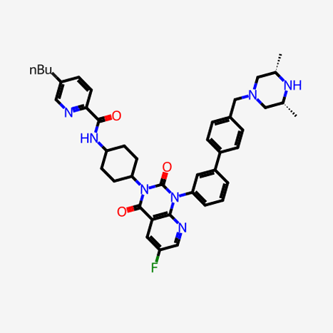 CCCCc1ccc(C(=O)NC2CCC(n3c(=O)c4cc(F)cnc4n(-c4cccc(-c5ccc(CN6C[C@@H](C)N[C@@H](C)C6)cc5)c4)c3=O)CC2)nc1